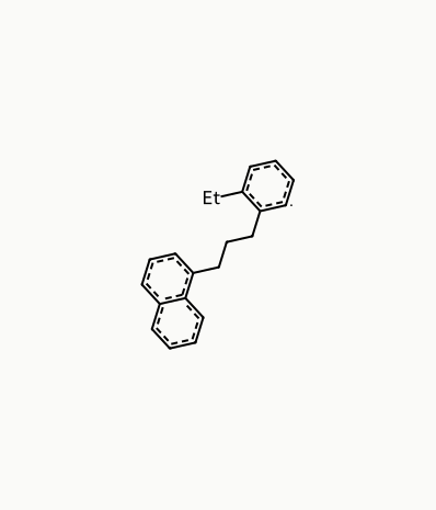 CCc1ccc[c]c1CCCc1cccc2ccccc12